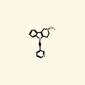 CN1CCc2c(c3ccccc3n2C#Cc2cccnc2)C1